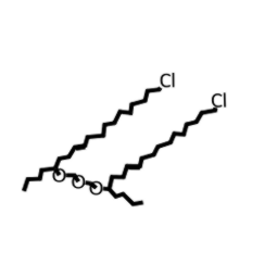 CCCCC(CCC=CCCCCCCCCCCCl)OCOCOC(CCC=CCCCCCCCCCCCl)CCCC